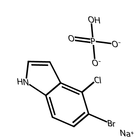 Clc1c(Br)ccc2[nH]ccc12.O=P([O-])([O-])O.[Na+].[Na+]